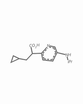 CC(C)Nc1ccc(C(CC2CC2)C(=O)O)nc1